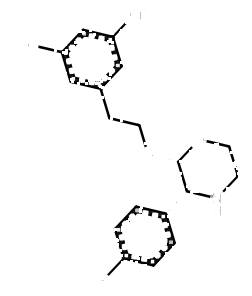 Fc1ccc([C@H]2NCCO[C@H]2OCCc2cc(C(F)(F)F)cc(C(F)(F)F)c2)cc1